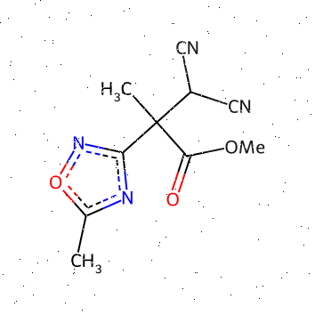 COC(=O)C(C)(c1noc(C)n1)C(C#N)C#N